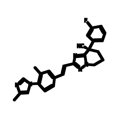 Cc1cn(-c2ccc(/C=C/c3nc4n(n3)CCC[C@@]4(C#N)c3cccc(F)c3)cc2C)cn1